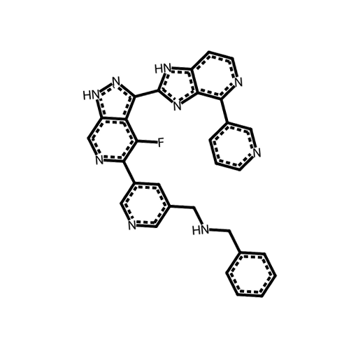 Fc1c(-c2cncc(CNCc3ccccc3)c2)ncc2[nH]nc(-c3nc4c(-c5cccnc5)nccc4[nH]3)c12